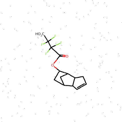 O=C(O)C(F)(F)C(F)(F)C(=O)OC1CC2CC1C1CC=CC21